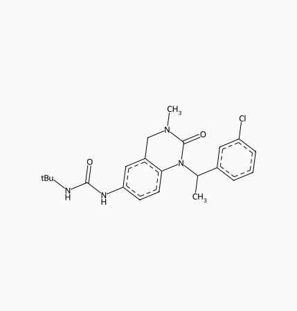 CC(c1cccc(Cl)c1)N1C(=O)N(C)Cc2cc(NC(=O)NC(C)(C)C)ccc21